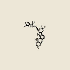 Cc1cc(C(=O)NCC#Cc2nn3c(N[C@@H]4CCN(C)C[C@@H]4F)cccc3c2CC(F)(F)F)co1